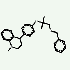 CN1CCC(c2ccc(OC(C)(C)COCc3ccccc3)cc2)c2ccccc21